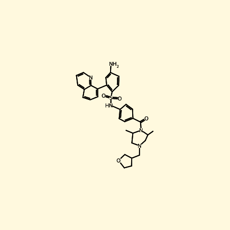 CC1CN(CC2CCOC2)CC(C)N1C(=O)c1ccc(NS(=O)(=O)c2ccc(N)cc2-c2cccc3cccnc23)cc1